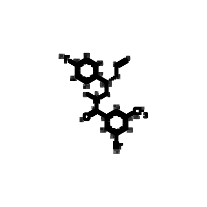 C=CC[C@H](CN(C)C(=O)c1cc(Br)cc(C(F)(F)F)c1)c1ccc(F)cc1